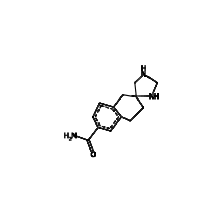 NC(=O)c1ccc2c(c1)CCC1(CNCN1)C2